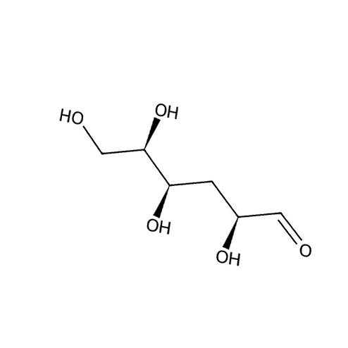 O=C[C@@H](O)C[C@@H](O)[C@H](O)CO